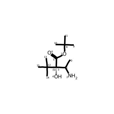 CC(N)[C@](O)(C(=O)OC(C)(C)C)C(C)(C)C